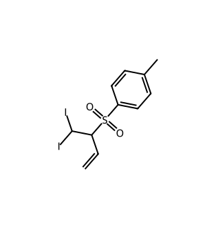 C=CC(C(I)I)S(=O)(=O)c1ccc(C)cc1